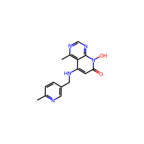 Cc1ccc(CNc2cc(=O)n(O)c3ncnc(C)c23)cn1